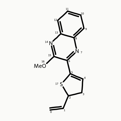 C=CC1CC=C(c2nc3ccccc3nc2OC)S1